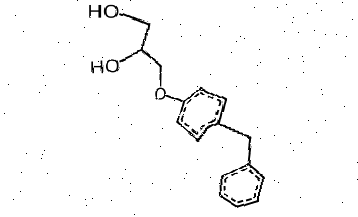 OCC(O)COc1ccc(Cc2ccccc2)cc1